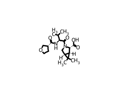 CC(C)[C@H](NC(=O)[C@@H]1CCOC1)C(=O)N1C[C@H]2[C@@H]([C@H]1C(=O)O)C2(C)C